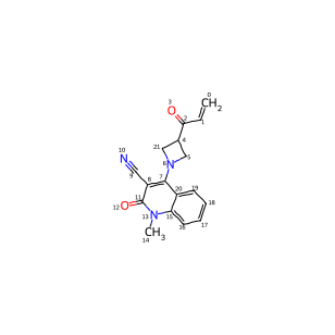 C=CC(=O)C1CN(c2c(C#N)c(=O)n(C)c3ccccc23)C1